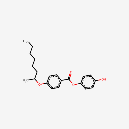 CCCCCCC(C)Oc1ccc(C(=O)Oc2ccc(O)cc2)cc1